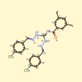 Cc1cc(C)cc(C(=O)N=C(N/N=C/c2ccc(Cl)cc2)N/N=C/c2ccc(Cl)cc2)c1